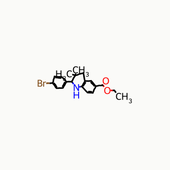 CCOC(=O)c1ccc2c(c1)CC(C)(C)C(c1ccc(Br)cc1)N2